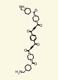 NC[C@H]1CC[C@H](C(=O)N2CCN(C(=O)C#CC(=O)c3ccc(C(=O)C#CC(=O)N4CCN(C(=O)[C@H]5CC[C@H](CN)CC5)CC4)cc3)CC2)CC1